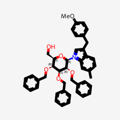 COc1ccc(Cc2cn([C@@H]3O[C@H](CO)[C@@H](OCc4ccccc4)[C@H](OCc4ccccc4)[C@H]3OCc3ccccc3)c3cc(C)ccc23)cc1